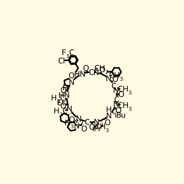 CC[C@H](C)[C@@H]1NC(=O)[C@H](CC(C)C)N(C)C(=O)C[C@@H](C(=O)N2CCCCC2)N(C)C(=O)[C@H](C2CCCCC2)N(C)C(=O)[C@](C)(CC)NC(=O)[C@@H]2CCCN2C(=O)[C@H](CCc2ccc(C(F)(F)F)c(Cl)c2)NC(=O)CN(C)C(=O)[C@H](CC2CCCCC2)N(C)C(=O)CN(C)C(=O)CN(C)C1=O